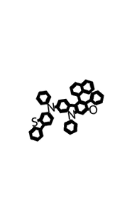 c1ccc(N(c2ccc3c(c2)sc2ccccc23)c2ccc3c4c(-c5cccc6ccccc56)c5c(cc4n(-c4ccccc4)c3c2)oc2ccccc25)cc1